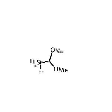 C[CH][SiH2]C(OC)OC